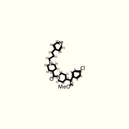 CON=C(c1ccc(Cl)cc1)C1CCN(C(=O)C2CCN(CCCc3ccncc3)CC2)CC1